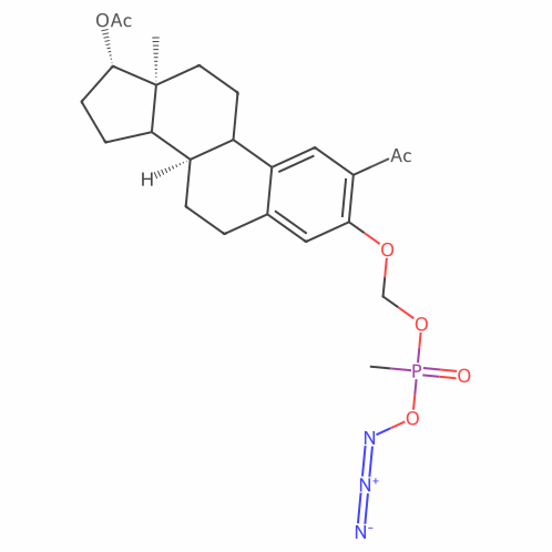 CC(=O)O[C@H]1CCC2[C@@H]3CCc4cc(OCOP(C)(=O)ON=[N+]=[N-])c(C(C)=O)cc4C3CC[C@@]21C